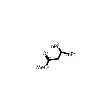 CCCC(CCC)CC(=O)OC